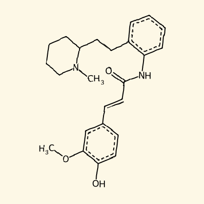 COc1cc(/C=C/C(=O)Nc2ccccc2CCC2CCCCN2C)ccc1O